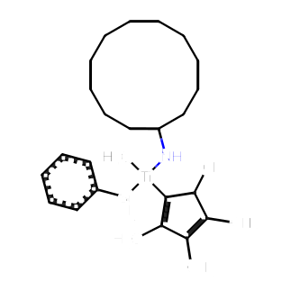 CC1=C(C)C(C)[C]([Ti]([CH3])([NH]C2CCCCCCCCCCC2)[SiH2]c2ccccc2)=C1C